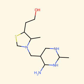 CC1NCC(CN2CSC(CCO)C2C)C(N)N1